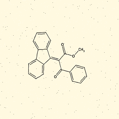 COC(=O)C(C(=O)c1ccccc1)=C1c2ccccc2-c2ccccc21